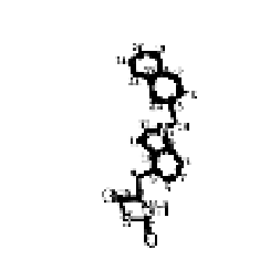 O=C1NC(Cc2cccc3c2ccn3Cc2ccc3ccccc3c2)C(=O)S1